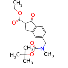 CCOC(=O)C1Cc2cc(CN(C)C(=O)OC(C)(C)C)ccc2C1=O